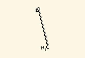 CCCCCCCCCCCCCCCCCCC1CCO1